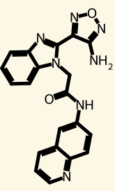 Nc1nonc1-c1nc2ccccc2n1CC(=O)Nc1ccc2ncccc2c1